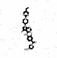 CCc1cnc(N2CCC(n3cc(F)c4c(Nc5ccc(C(=O)N6CC[C@H](O)C6)cc5F)ncnc43)CC2)nc1